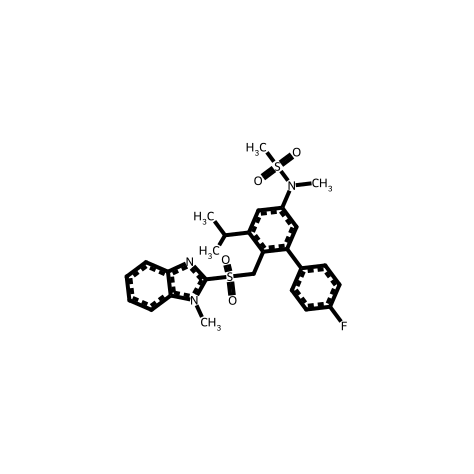 CC(C)c1cc(N(C)S(C)(=O)=O)cc(-c2ccc(F)cc2)c1CS(=O)(=O)c1nc2ccccc2n1C